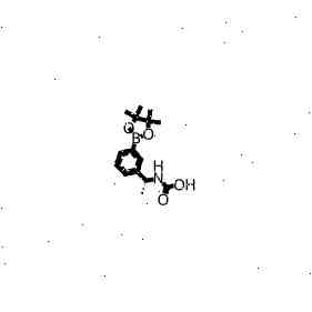 C[C@@H](NC(=O)O)c1cccc(B2OC(C)(C)C(C)(C)O2)c1